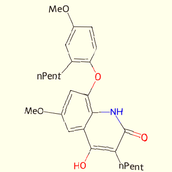 CCCCCc1cc(OC)ccc1Oc1cc(OC)cc2c(O)c(CCCCC)c(=O)[nH]c12